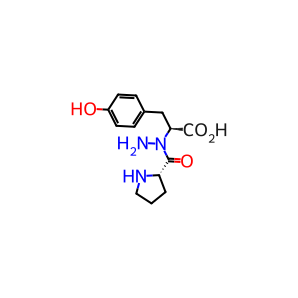 NN(C(=O)[C@@H]1CCCN1)[C@@H](Cc1ccc(O)cc1)C(=O)O